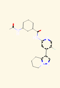 CC(=O)NC1CCCC(C(=O)Nc2cc(-c3cnn4c3CCCC4)c(F)cn2)C1